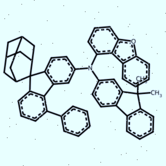 CC1(C)c2ccccc2-c2ccc(N(c3ccc4c(c3)-c3c(-c5ccccc5)cccc3C43C4CC5CC(C4)CC3C5)c3cccc4oc5ccccc5c34)cc21